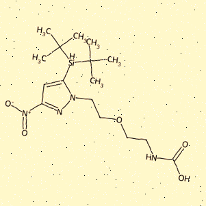 CC(C)(C)[SiH](c1cc([N+](=O)[O-])nn1CCOCCNC(=O)O)C(C)(C)C